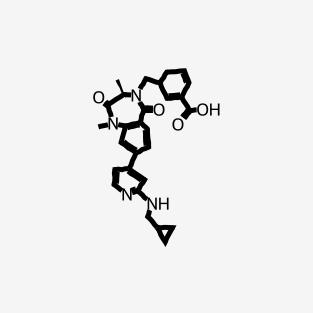 C[C@@H]1C(=O)N(C)c2cc(-c3ccnc(NCC4CC4)c3)ccc2C(=O)N1CC1C=C(C(=O)O)C=CC1